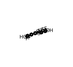 O=C(Oc1ccc(-c2ccc(O)c(F)c2F)c(F)c1F)C1CCC(C2CC=C(c3ccc(O)c(F)c3F)CC2)CC1